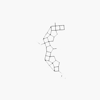 CNNC1C2CC3CC45C6C(C)C7C(C6C4C4C1C2C3(C)C45)C1(NN)C2C3C4C5(C)C(CC46C4CCC4C36C)CC71C25